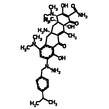 CC1=C2C(=O)c3c(O)c(N(N)Cc4ccc(C(C)C)cc4)cc(N(C)C)c3C[C@@]2(N)C[C@@]2(C)[C@H](N(C)C)C(O)=C(C(N)=O)C(=O)[C@@]12O